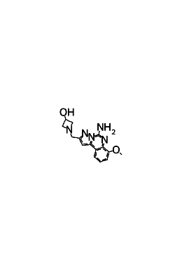 COc1cccc2c1nc(N)n1nc(CN3CC(O)C3)cc21